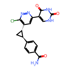 NC(=O)c1ccc([C@H]2C[C@@H]2c2cc(-c3c[nH]c(=O)[nH]c3=O)nnc2Cl)cc1